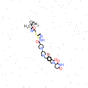 CC(C)(C)c1cnc(CSc2cnc(NC(=O)C3CCN(C4CCN(Cc5cc6c(cc5Br)C(=O)N(C5CCC(=O)NC5=O)C6)CC4)CC3)s2)o1